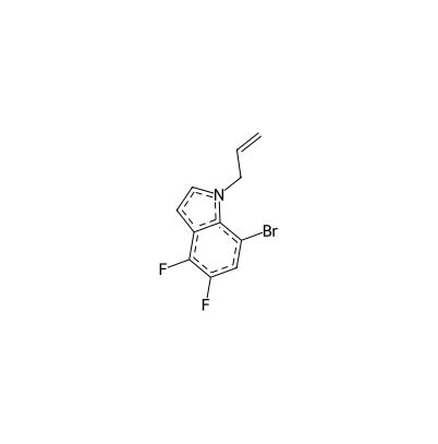 C=CCn1ccc2c(F)c(F)cc(Br)c21